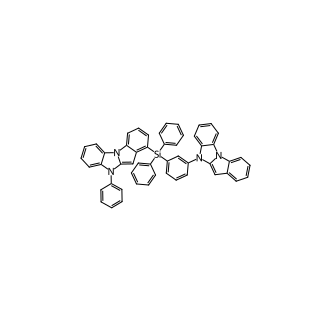 c1ccc(-n2c3ccccc3n3c4cccc([Si](c5ccccc5)(c5ccccc5)c5cccc(-n6c7ccccc7n7c8ccccc8cc67)c5)c4cc23)cc1